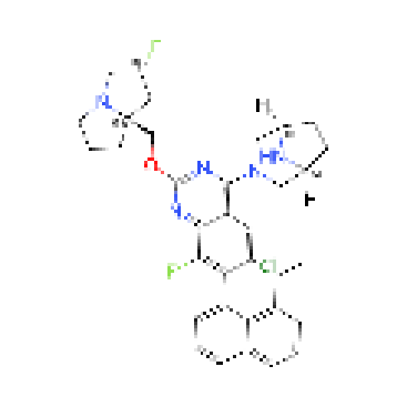 CCc1cccc2cccc(-c3c(Cl)cc4c(N5C[C@H]6CC[C@@H](C5)N6)nc(OC[C@@]56CCCN5C[C@H](F)C6)nc4c3F)c12